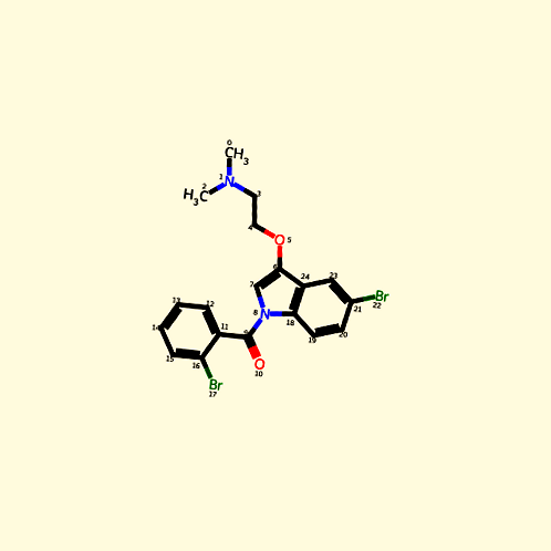 CN(C)CCOc1cn(C(=O)c2ccccc2Br)c2ccc(Br)cc12